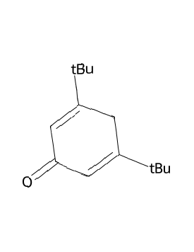 CC(C)(C)C1=CC(=O)C=C(C(C)(C)C)C1